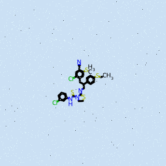 CCSc1ccc(C(CN=C2SCCN2C(=S)Nc2cccc(Cl)c2)Cc2cc(SC)c(C#N)cc2Cl)cc1